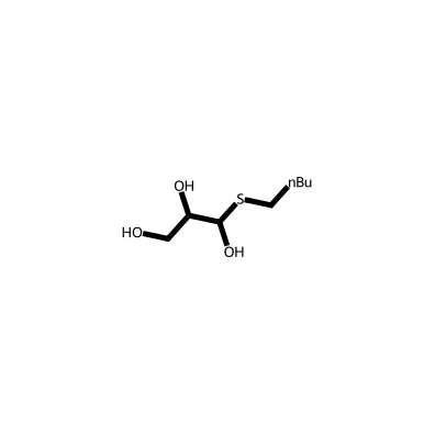 CCCCCSC(O)C(O)CO